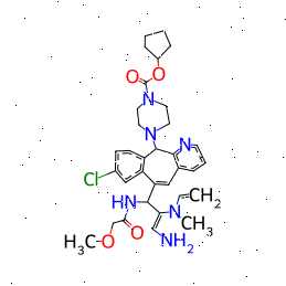 C=CN(C)/C(=C\N)C(NC(=O)COC)C1=Cc2cccnc2C(N2CCN(C(=O)OC3CCCC3)CC2)c2ccc(Cl)cc21